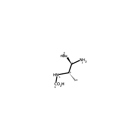 CCCC[C@@H](N)[C@H](C)NC(=O)O